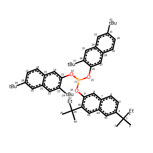 CCC(C)(C)c1ccc2cc(OP(Oc3cc4ccc(C(C)(C)C)cc4cc3C(C)(C)C)Oc3cc4ccc(C(C)(C)C)cc4cc3C(C)(C)C)c(C(C)(C)CC)cc2c1